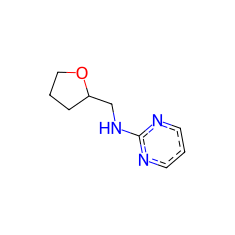 c1cnc(NCC2CCCO2)nc1